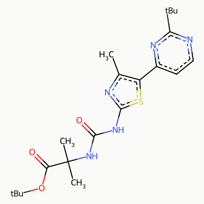 Cc1nc(NC(=O)NC(C)(C)C(=O)OC(C)(C)C)sc1-c1ccnc(C(C)(C)C)n1